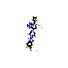 CCC(c1nnnn1Cc1cccs1)N1CCN(c2nc3ccc(C)cc3s2)CC1